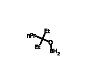 BOC(CC)(CC)CCC